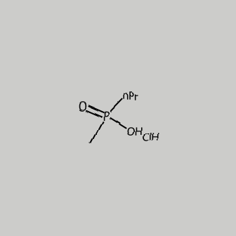 CCCP(C)(=O)O.Cl